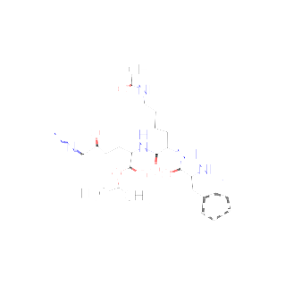 CC(=O)NCCCCC(NC(=O)C(N)Cc1ccccc1)C(=O)NC(CCC(=O)C=[N+]=[N-])C(=O)OC(C)C